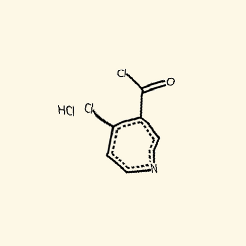 Cl.O=C(Cl)c1cnccc1Cl